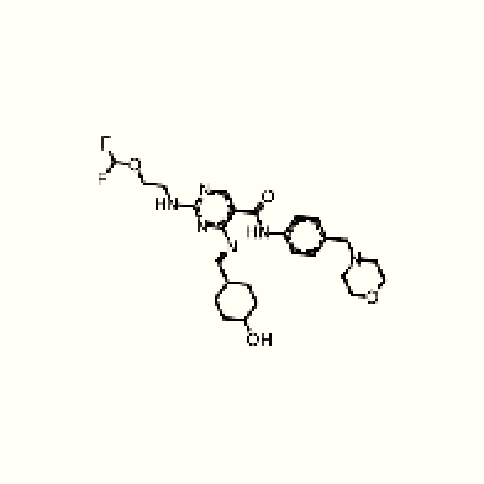 O=C(Nc1ccc(CN2CCOCC2)cc1)c1cnc(NCCOC(F)F)nc1/N=C/C1CCC(O)CC1